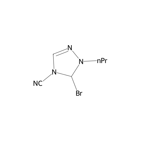 CCCN1N=CN(C#N)C1Br